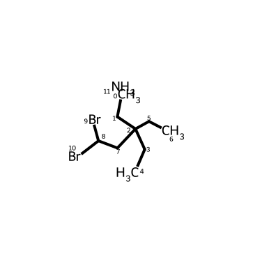 CCC(CC)(CC)CC(Br)Br.N